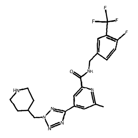 Cc1cc(-c2nnn(CC3CCNCC3)n2)cc(C(=O)NCc2ccc(F)c(C(F)(F)F)c2)n1